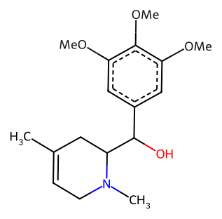 COc1cc(C(O)C2CC(C)=CCN2C)cc(OC)c1OC